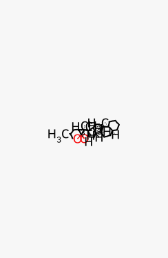 C[C@@H]1CO[C@]23O[C@H]4C[C@H]5[C@@H]6CC[C@@H]7CCCC[C@]7(C)[C@H]6CC[C@]5(C)[C@H]4[C@]2(C)C3C1